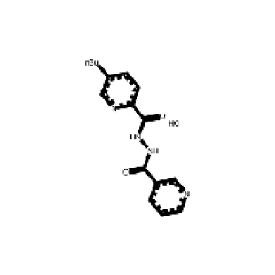 CCCCc1ccc(C(=O)NNC(=O)c2cccnc2)nc1.Cl